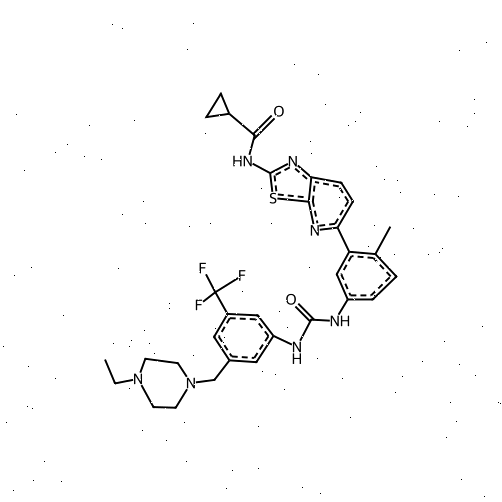 CCN1CCN(Cc2cc(NC(=O)Nc3ccc(C)c(-c4ccc5nc(NC(=O)C6CC6)sc5n4)c3)cc(C(F)(F)F)c2)CC1